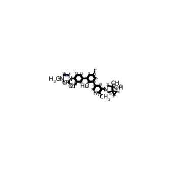 Cc1ncc(-c2cc(F)cc(-c3ccc(N(C=O)/C=C\N(C)C)c(Cl)c3)c2O)cc1N1CC(C)(O)C2(CC2)C1